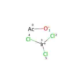 CC(=O)[O-].[Cl][Ir+]([Cl])[Cl]